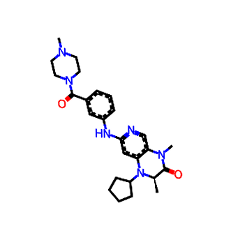 C[C@@H]1C(=O)N(C)c2cnc(Nc3cccc(C(=O)N4CCN(C)CC4)c3)cc2N1C1CCCC1